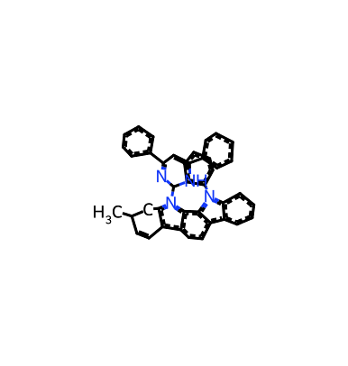 CC1C=Cc2c(n(C3N=C(c4ccccc4)C=C(c4ccccc4)N3)c3c2ccc2c4ccccc4n(-c4ccccc4)c23)C1